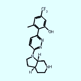 Cc1cc(C(F)(F)F)cc(O)c1-c1ccc(N2CC[C@H]3CCNC[C@H]32)nn1